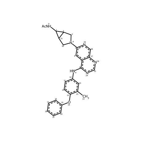 CC(=O)NC1C2CN(c3cc4c(Nc5ccc(Oc6ccccc6)c(C)c5)ncnc4cn3)CC21